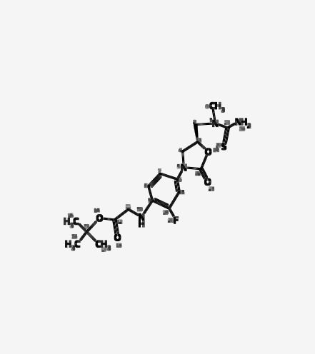 CN(C[C@@H]1CN(c2ccc(NCC(=O)OC(C)(C)C)c(F)c2)C(=O)O1)C(N)=S